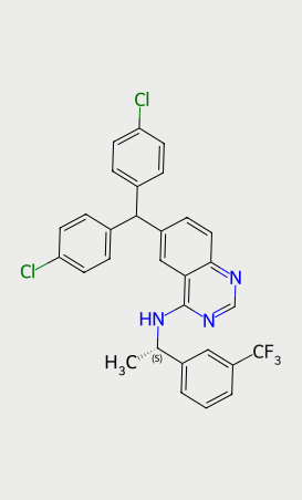 C[C@H](Nc1ncnc2ccc(C(c3ccc(Cl)cc3)c3ccc(Cl)cc3)cc12)c1cccc(C(F)(F)F)c1